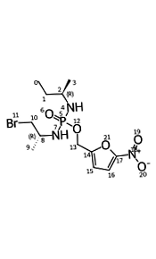 CC[C@@H](C)NP(=O)(N[C@H](C)CBr)OCc1ccc([N+](=O)[O-])o1